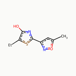 CCc1sc(-c2cc(C)on2)nc1O